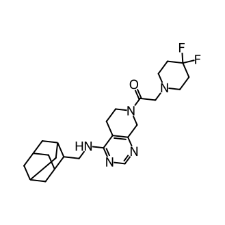 O=C(CN1CCC(F)(F)CC1)N1CCc2c(ncnc2NCC2C3CC4CC(C3)CC2C4)C1